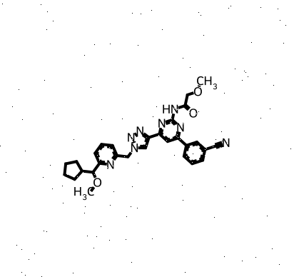 COCC(=O)Nc1nc(-c2cccc(C#N)c2)cc(-c2cn(Cc3cccc(C(OC)C4CCCC4)n3)nn2)n1